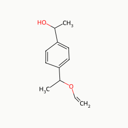 C=COC(C)c1ccc(C(C)O)cc1